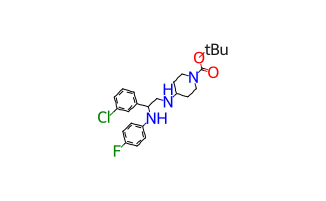 CC(C)(C)OC(=O)N1CCC(NCC(Nc2ccc(F)cc2)c2cccc(Cl)c2)CC1